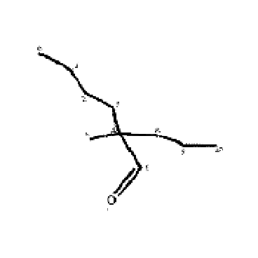 CCCCC(C)(C=O)CCC